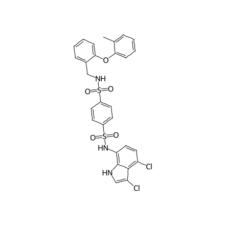 Cc1ccccc1Oc1ccccc1CNS(=O)(=O)c1ccc(S(=O)(=O)Nc2ccc(Cl)c3c(Cl)c[nH]c23)cc1